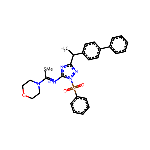 CS/C(=N\c1nc(C(C)c2ccc(-c3ccccc3)cc2)nn1S(=O)(=O)c1ccccc1)N1CCOCC1